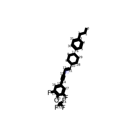 CCCc1ccc([C@H]2CC[C@H](/C=C/C#Cc3cc(F)c(OC(F)(F)F)c(F)c3)CC2)cc1